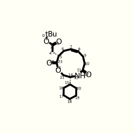 CC(C)(C)OC(=O)C[C@@H]1CC=CCCC(=O)N[C@H](C2CCCCC2)COC1=O